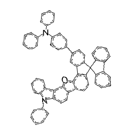 c1ccc(N(c2ccccc2)c2ccc(-c3ccc4c(c3)-c3c(ccc5c3oc3c5ccc5c3c3ccccc3n5-c3ccccc3)C43c4ccccc4-c4ccccc43)cc2)cc1